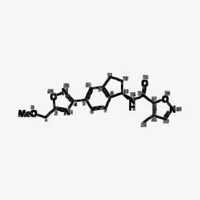 COCc1nc(-c2ccc3c(c2)CC[C@H]3NC(=O)c2oncc2C)no1